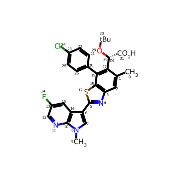 Cc1cc2nc(-c3cn(C)c4ncc(F)cc34)sc2c(-c2ccc(Cl)cc2)c1[C@H](OC(C)(C)C)C(=O)O